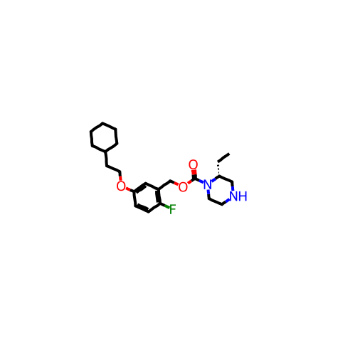 CC[C@@H]1CNCCN1C(=O)OCc1cc(OCCC2CCCCC2)ccc1F